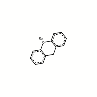 [Ru].c1ccc2c(c1)Cc1ccccc1O2